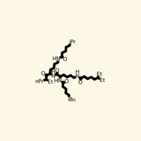 CCCC(CC)C(=O)C(CCCCNC(=O)CCCCC(C)C)NC(=O)C(CCCCNC(=O)CCCCC(CC)CC)NC(=O)CCCCC(C)CC